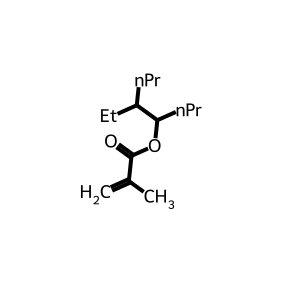 C=C(C)C(=O)OC(CCC)C(CC)CCC